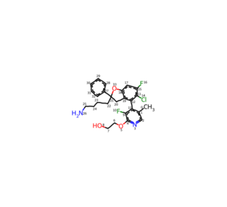 Cc1cnc(OCCO)c(F)c1-c1c(Cl)c(F)cc2c1CC(CCCCN)(c1ccccc1)O2